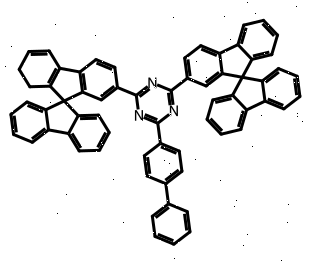 C1=CC2=C(CC1)C1(c3cc(-c4nc(-c5ccc(-c6ccccc6)cc5)nc(-c5ccc6c(c5)C5(c7ccccc7-c7ccccc75)c5ccccc5-6)n4)ccc32)c2ccccc2-c2ccccc21